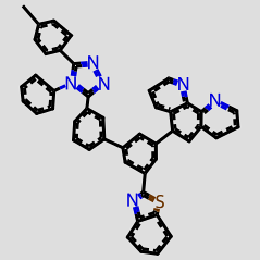 Cc1ccc(-c2nnc(-c3cccc(-c4cc(-c5nc6ccccc6s5)cc(-c5cc6cccnc6c6ncccc56)c4)c3)n2-c2ccccc2)cc1